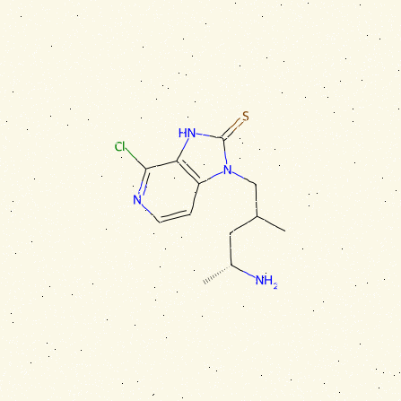 CC(C[C@@H](C)N)Cn1c(=S)[nH]c2c(Cl)nccc21